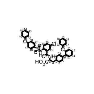 O=C(N[C@@H](Cc1ccc(-c2ccccc2Oc2ccccc2)cc1)C(=O)O)c1cc(Cl)ccc1NS(=O)(=O)c1ccc(Oc2ccccc2)cc1